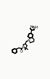 CC1(C)CC(CN2CCCc3cc(-c4cn[nH]c4)ccc32)CN1C(=O)Cc1ccccc1